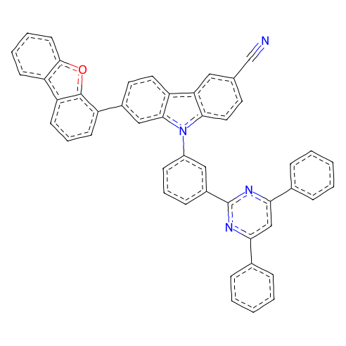 N#Cc1ccc2c(c1)c1ccc(-c3cccc4c3oc3ccccc34)cc1n2-c1cccc(-c2nc(-c3ccccc3)cc(-c3ccccc3)n2)c1